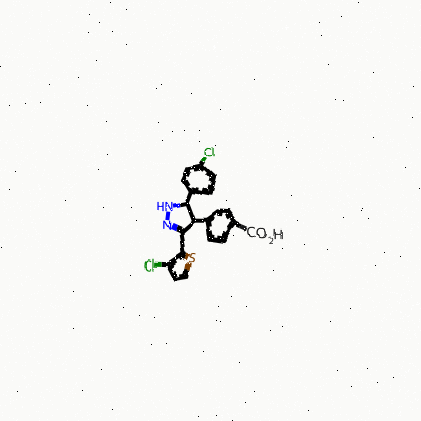 O=C(O)c1ccc(C2C(c3sccc3Cl)=NNC2c2ccc(Cl)cc2)cc1